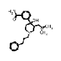 CN(C)CC1CN(CCCc2ccccc2)CCC1(O)c1cccc(C(N)=O)c1